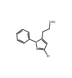 CCc1cc(CCC=O)n(-c2ccccc2)n1